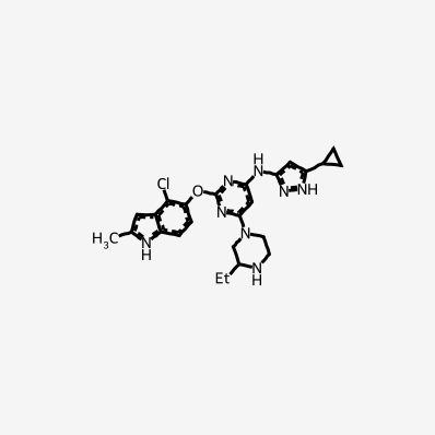 CCC1CN(c2cc(Nc3cc(C4CC4)[nH]n3)nc(Oc3ccc4[nH]c(C)cc4c3Cl)n2)CCN1